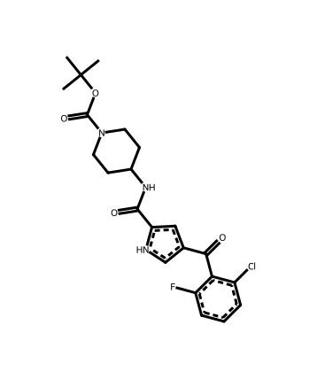 CC(C)(C)OC(=O)N1CCC(NC(=O)c2cc(C(=O)c3c(F)cccc3Cl)c[nH]2)CC1